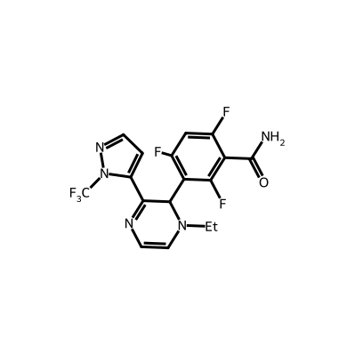 CCN1C=CN=C(c2ccnn2C(F)(F)F)C1c1c(F)cc(F)c(C(N)=O)c1F